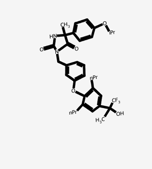 CCCc1cc(C(C)(O)C(F)(F)F)cc(CCC)c1Oc1cccc(CN2C(=O)NC(C)(c3ccc(OC(C)C)cc3)C2=O)c1